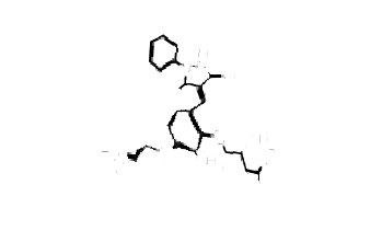 CCCOc1ccc(/C=C2/C(=O)NN(c3ccccc3)C2=O)c(OC[C@H](O)CC(=O)O)c1C